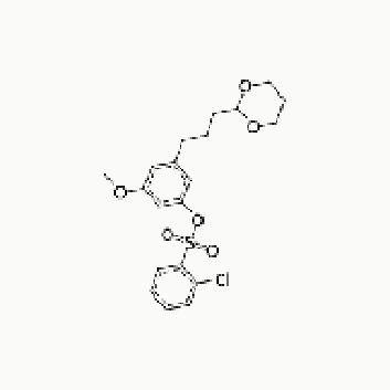 COc1cc(CCCC2OCCCO2)cc(OS(=O)(=O)c2ccccc2Cl)c1